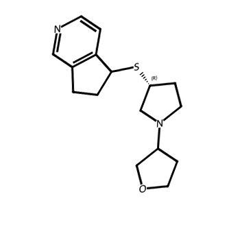 c1cc2c(cn1)CCC2S[C@@H]1CCN(C2CCOC2)C1